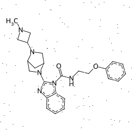 CN1CC(N2CC3CC2CN3c2nc3ccccc3n2C(=O)NCCOc2ccccc2)C1